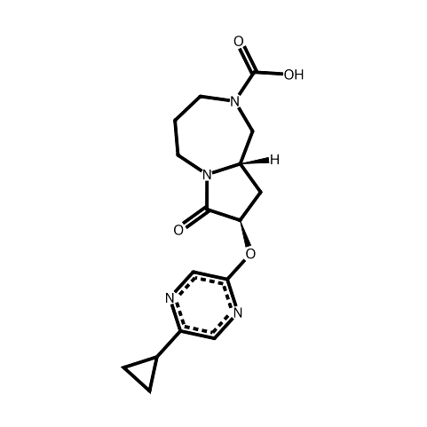 O=C(O)N1CCCN2C(=O)[C@H](Oc3cnc(C4CC4)cn3)C[C@H]2C1